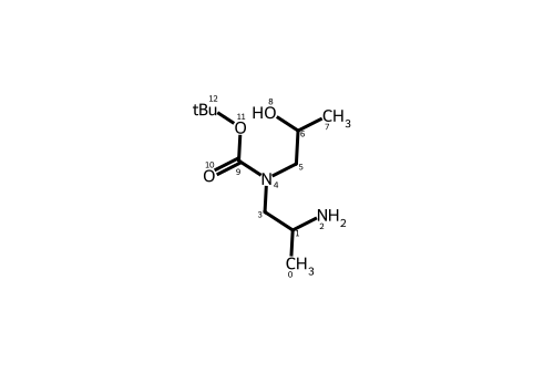 CC(N)CN(CC(C)O)C(=O)OC(C)(C)C